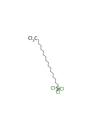 ClC(Cl)(Cl)CCCCCCCCCCCCCCCCC[Si](Cl)(Cl)Cl